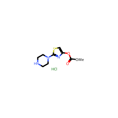 COC(=O)Oc1csc(N2CCNCC2)n1.Cl